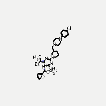 CC/C(C)=C1/N=C(N2CCCC(CN3CCN(c4ccc(Cl)cc4)CC3)C2)N=C(N)N1/N=C(\C)c1ccco1